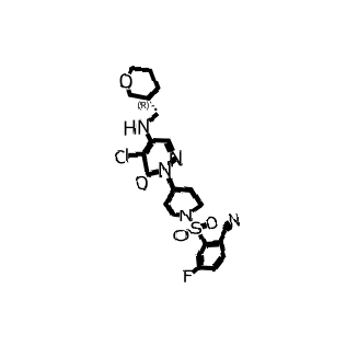 N#Cc1ccc(F)cc1S(=O)(=O)N1CCC(n2ncc(NC[C@H]3CCCOC3)c(Cl)c2=O)CC1